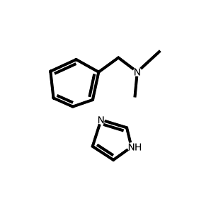 CN(C)Cc1ccccc1.c1c[nH]cn1